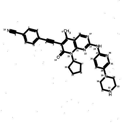 Cc1c(C#Cc2ccc(C#N)cc2)c(=O)n(C2CCCC2)c2nc(Nc3ccc(N4CCNCC4)cn3)ncc12